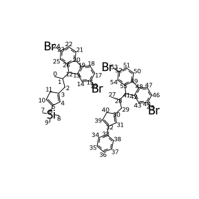 CC(CC1=CC([Si](C)(C)C)=CC1)C1c2cc(Br)ccc2-c2ccc(Br)cc21.CC(CC1=CC(c2ccccc2)=CC1)C1c2cc(Br)ccc2-c2ccc(Br)cc21